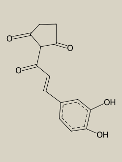 O=C(C=Cc1ccc(O)c(O)c1)C1C(=O)CCC1=O